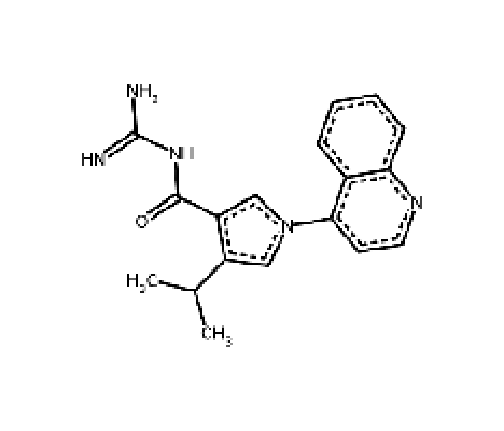 CC(C)c1cn(-c2ccnc3ccccc23)cc1C(=O)NC(=N)N